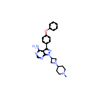 CN1CCC(N2CC(n3nc(-c4ccc(Oc5ccccc5)cc4)c4c(N)ncnc43)C2)CC1